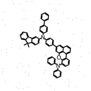 CC1(C)c2ccccc2-c2cc(N(c3ccc(-c4ccccc4)cc3)c3ccc(-c4cc5c6c(cccc6c4)-c4cccc(N(c6ccccc6)c6ccccc6)c4O5)cc3)ccc21